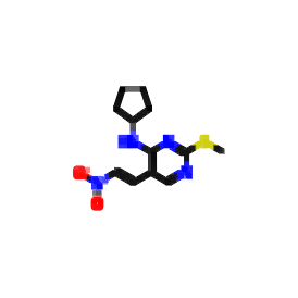 CSc1ncc(C=C[N+](=O)[O-])c(NC2CCCC2)n1